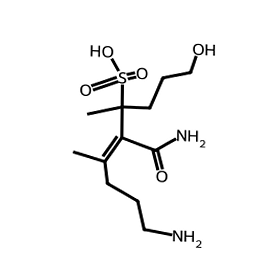 CC(CCCN)=C(C(N)=O)C(C)(CCCO)S(=O)(=O)O